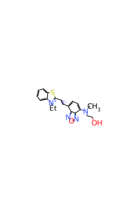 CC[n+]1c(/C=C/c2ccc(N(C)CCO)c3nonc23)sc2ccccc21